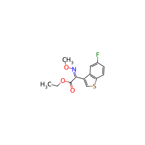 CCOC(=O)C(=NOC)c1csc2ccc(F)cc12